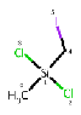 C[Si](Cl)(Cl)CI